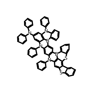 c1ccc(N(c2ccccc2)c2cc3c4c(c2)N(c2ccccc2)c2cc5c(cc2B4c2ccccc2N3c2ccccc2)B2c3ccccc3Sc3c2c(cc2sc4ccccc4c32)N5c2ccccc2)cc1